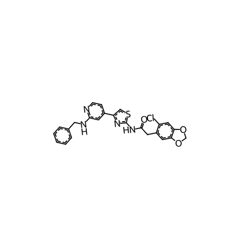 O=C(Cc1cc2c(cc1Cl)OCO2)Nc1nc(-c2ccnc(NCc3ccccc3)c2)cs1